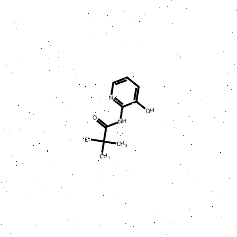 CCC(C)(C)C(=O)Nc1ncccc1O